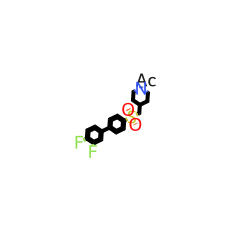 CC(=O)N1CCC(CS(=O)(=O)c2ccc(-c3ccc(F)c(F)c3)cc2)CC1